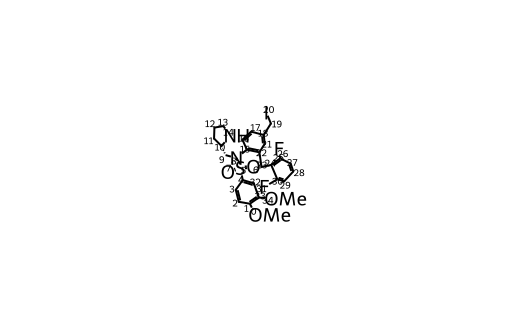 COc1ccc(S(=O)(=O)N(C[C@@H]2CCCN2)c2ccc(CI)cc2Cc2c(F)cccc2F)cc1OC